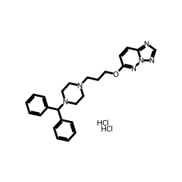 Cl.Cl.c1ccc(C(c2ccccc2)N2CCN(CCCOc3ccc4ncnn4n3)CC2)cc1